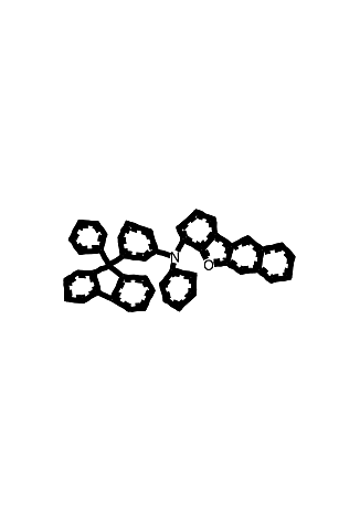 c1ccc(N(c2cccc(C3(c4ccccc4)c4ccccc4-c4ccccc43)c2)c2cccc3c2oc2cc4ccccc4cc23)cc1